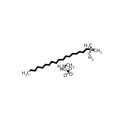 CCCCCCCCCCCCCCCCCC[N+](C)(C)C.CN.O=S(=O)([O-])O